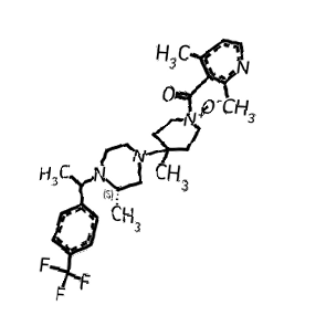 Cc1ccnc(C)c1C(=O)[N+]1([O-])CCC(C)(N2CCN(C(C)c3ccc(C(F)(F)F)cc3)[C@@H](C)C2)CC1